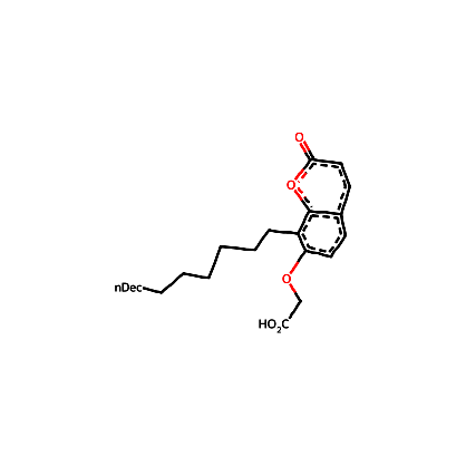 CCCCCCCCCCCCCCCCc1c(OCC(=O)O)ccc2ccc(=O)oc12